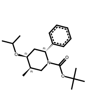 CC(C)O[C@H]1C[C@H](c2ccccc2)N(C(=O)OC(C)(C)C)C[C@H]1C